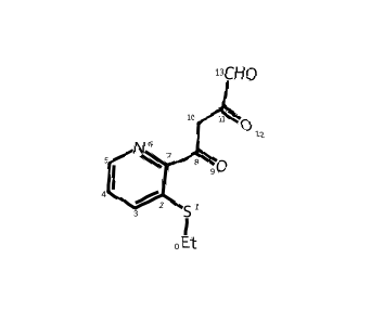 CCSc1cccnc1C(=O)CC(=O)C=O